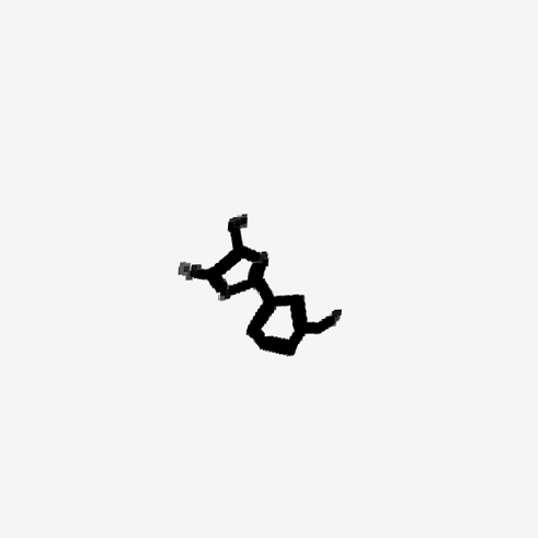 Cc1sc(-c2cccc(F)c2)nc1O